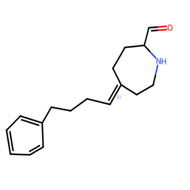 O=CC1CC/C(=C\CCCc2ccccc2)CCN1